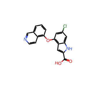 O=C(O)c1cc2c(Oc3cccc4cnccc34)cc(Cl)cc2[nH]1